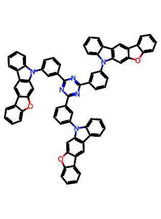 c1cc(-c2nc(-c3cccc(-n4c5ccccc5c5cc6c(cc54)oc4ccccc46)c3)nc(-c3cccc(-n4c5ccccc5c5cc6c(cc54)oc4ccccc46)c3)n2)cc(-n2c3ccccc3c3cc4c(cc32)oc2ccccc24)c1